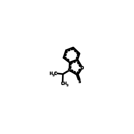 CC(C)n1c(=S)oc2ccccc21